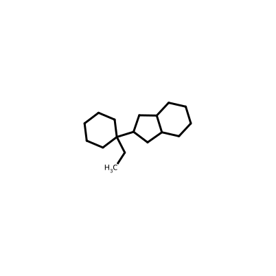 CCC1(C2CC3CCCCC3C2)CCCCC1